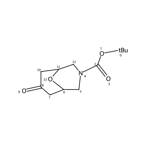 CC(C)(C)OC(=O)N1CC2CC(=O)CC(C1)O2